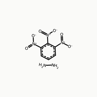 NN.O=[N+]([O-])c1cccc([N+](=O)[O-])c1[N+](=O)[O-]